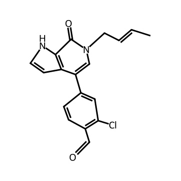 C/C=C/Cn1cc(-c2ccc(C=O)c(Cl)c2)c2cc[nH]c2c1=O